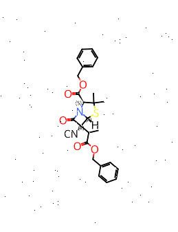 [C-]#[N+][C@]1(C(C)C(=O)OCc2ccccc2)C(=O)N2[C@@H](C(=O)OCc3ccccc3)C(C)(C)S[C@@H]21